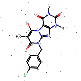 CCn1c(=O)c2c(nc3n(Cc4ccc(Cl)cc4)c(=O)c(C)c(O)n23)n(CC)c1=O